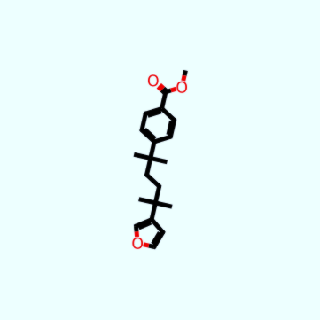 COC(=O)c1ccc(C(C)(C)CCC(C)(C)c2ccoc2)cc1